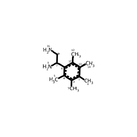 Cc1c(C)c(C)c(C(N)CN)c(C)c1C